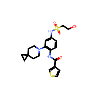 O=C(Nc1ccc(NS(=O)(=O)CCO)cc1N1CCC2(CC1)CC2)c1ccsc1